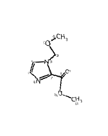 COCn1ccnc1C(=O)OC